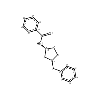 O=C(N[C@H]1CCN(Cc2ccccc2)C1)c1ccccc1